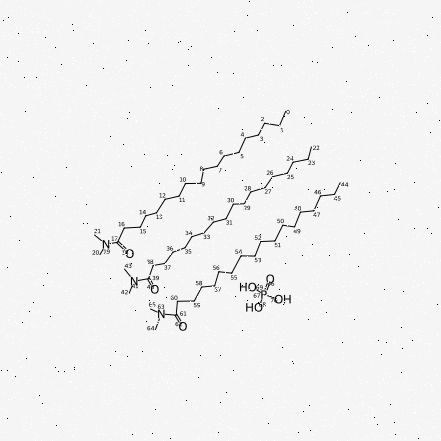 CCCCCCCCCCCCCCCCCC(=O)N(C)C.CCCCCCCCCCCCCCCCCC(=O)N(C)C.CCCCCCCCCCCCCCCCCC(=O)N(C)C.O=P(O)(O)O